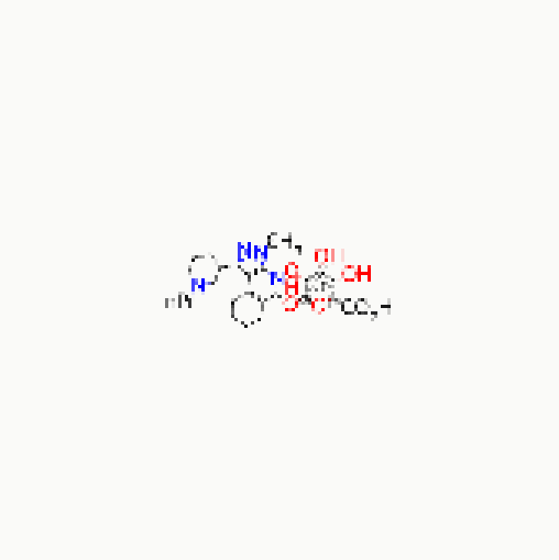 CCCN1CCCC(c2nn(C)c3nc(O[C@@H]4O[C@H](C(=O)O)[C@@H](O)[C@H](O)[C@H]4O)c4c(c23)CCCC4)C1